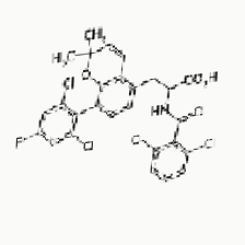 CC1(C)C=Cc2c(CC(NC(=O)c3c(Cl)cccc3Cl)C(=O)O)ccc(-c3c(Cl)cc(F)cc3Cl)c2O1